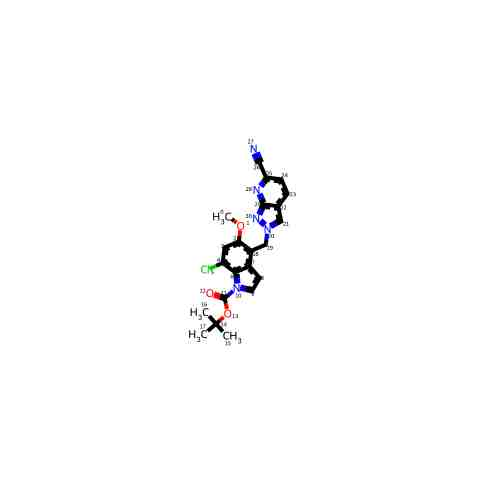 COc1cc(Cl)c2c(ccn2C(=O)OC(C)(C)C)c1Cn1cc2ccc(C#N)nc2n1